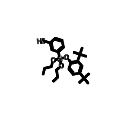 CCCO[Si](OCCC)(Oc1ccc(C(C)(C)C)cc1C(C)(C)C)c1cccc(S)c1